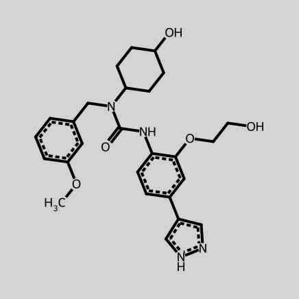 COc1cccc(CN(C(=O)Nc2ccc(-c3cn[nH]c3)cc2OCCO)C2CCC(O)CC2)c1